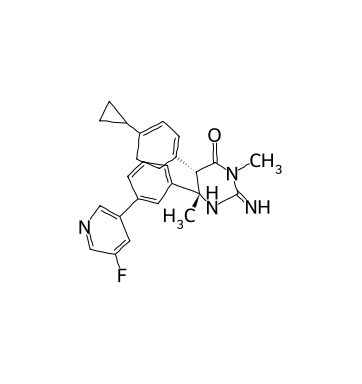 CN1C(=N)N[C@](C)(c2cccc(-c3cncc(F)c3)c2)[C@H](C2=CC=C(C3CC3)CC2)C1=O